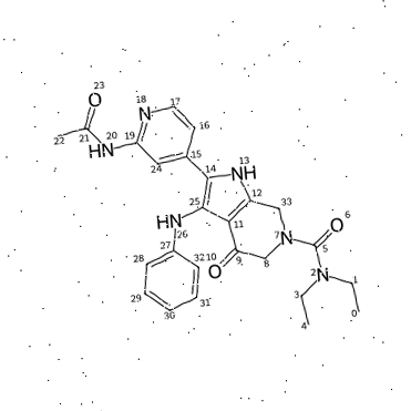 CCN(CC)C(=O)N1CC(=O)c2c([nH]c(-c3ccnc(NC(C)=O)c3)c2Nc2ccccc2)C1